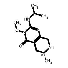 COn1c(NC(C)C)nc2c(c1=O)C[C@@H](C)NC2